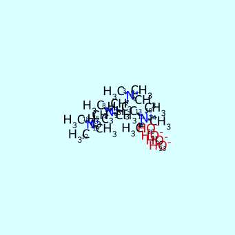 C[N+](C)(C)C.C[N+](C)(C)C.C[N+](C)(C)C.C[N+](C)(C)C.[OH-].[OH-].[OH-].[OH-]